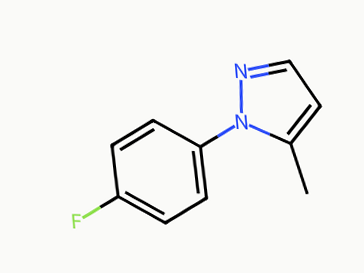 Cc1ccnn1-c1ccc(F)cc1